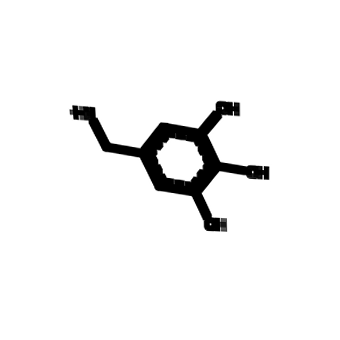 [NH]Cc1cc(O)c(O)c(O)c1